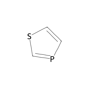 c1cscp1